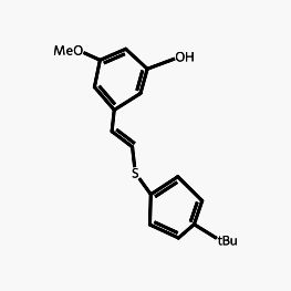 COc1cc(O)cc(/C=C/Sc2ccc(C(C)(C)C)cc2)c1